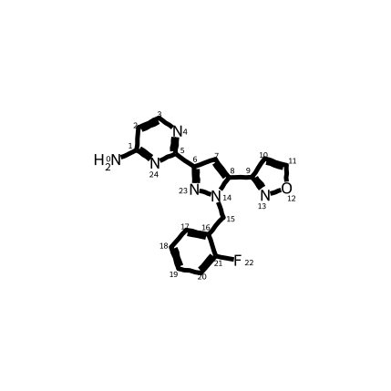 Nc1ccnc(-c2cc(-c3ccon3)n(Cc3ccccc3F)n2)n1